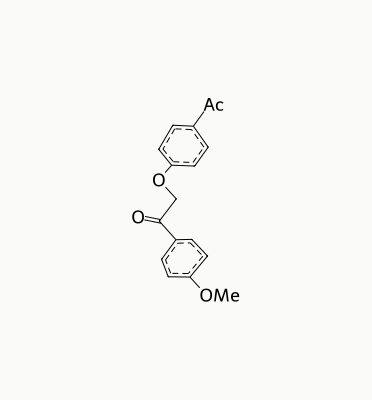 COc1ccc(C(=O)COc2ccc(C(C)=O)cc2)cc1